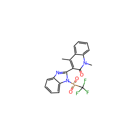 Cc1c(-c2nc3ccccc3n2S(=O)(=O)C(F)(F)F)c(=O)n(C)c2ccccc12